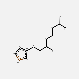 CC(C)CCCC(C)CCc1ccsc1